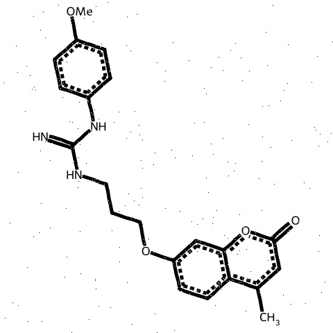 COc1ccc(NC(=N)NCCCOc2ccc3c(C)cc(=O)oc3c2)cc1